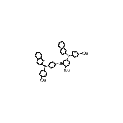 CC(C)(C)c1ccc(P(c2[c]c3ccccc3cc2)c2ccc(C(C)(C)C)cc2)cc1.CC(C)(C)c1ccc(P(c2[c]c3ccccc3cc2)c2ccc(C(C)(C)C)cc2)cc1